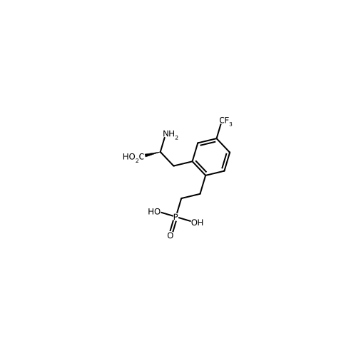 N[C@@H](Cc1cc(C(F)(F)F)ccc1CCP(=O)(O)O)C(=O)O